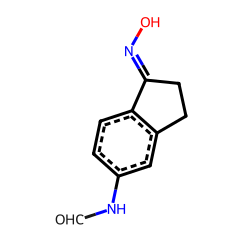 O=CNc1ccc2c(c1)CCC2=NO